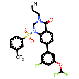 N#CCCN1CN(S(=O)(=O)c2cccc(C(F)(F)F)c2)c2cc(-c3cc(F)cc(OC(F)F)c3)ccc2C1=O